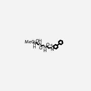 CONC(=O)CNC(=O)CNC(=O)Cc1nc2ccc(-c3ccccc3)cc2s1